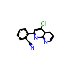 N#Cc1ccccc1C1=NC2=NC=CCC2C(Cl)=C1